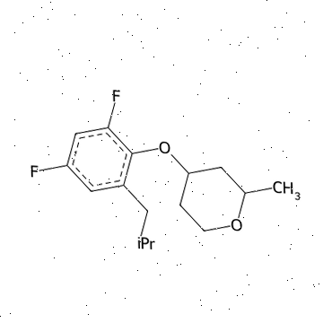 CC(C)Cc1cc(F)cc(F)c1OC1CCOC(C)C1